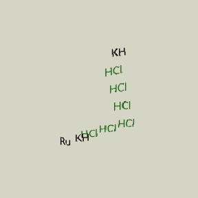 Cl.Cl.Cl.Cl.Cl.Cl.[KH].[KH].[Ru]